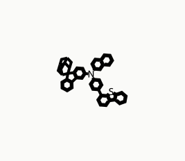 c1ccc2c(c1)-c1cc(N(c3ccc(-c4cccc5c4sc4ccccc45)cc3)c3ccc4ccccc4c3)ccc1C21C2CC3CC(C2)CC1C3